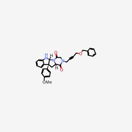 COc1ccc([C@]23C[C@H]4C(=O)N(CC#CCOCc5ccccc5)CC(=O)N4[C@H]2Nc2ccccc23)cc1